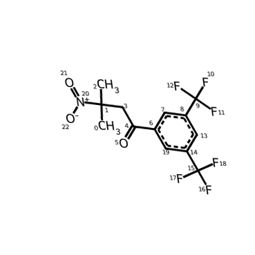 CC(C)(CC(=O)c1cc(C(F)(F)F)cc(C(F)(F)F)c1)[N+](=O)[O-]